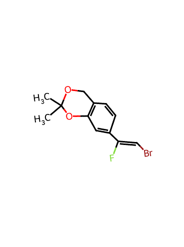 CC1(C)OCc2ccc(/C(F)=C/Br)cc2O1